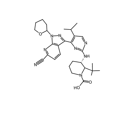 CC(C)c1cnc(N[C@H]2CCCN(C(=O)O)C2C(C)(C)C)nc1-c1nn(C2CCCCO2)c2nc(C#N)ccc12